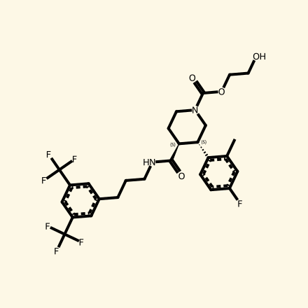 Cc1cc(F)ccc1[C@H]1CN(C(=O)OCCO)CC[C@@H]1C(=O)NCCCc1cc(C(F)(F)F)cc(C(F)(F)F)c1